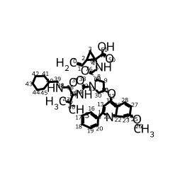 C=CC1C[C@]1(NC(=O)[C@@H]1C[C@@H](Oc2cc(-c3ccccc3)nc3cc(OC)ccc23)CN1C(=O)N[C@H](C(=O)NCC1CCCCC1)C(C)C)C(=O)O